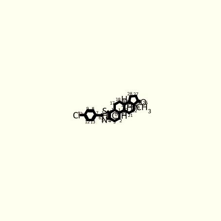 C[C@]12CCc3nc(-c4ccc(Cl)cc4)sc3C1CC[C@@H]1[C@@H]2CC[C@]2(C)C(=O)CC[C@@H]12